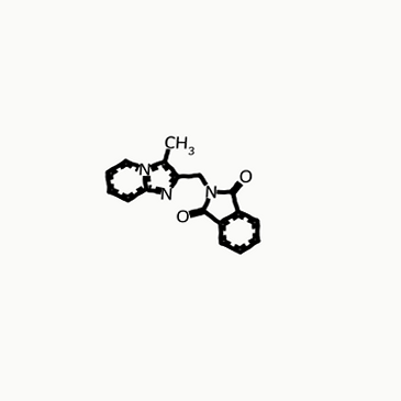 Cc1c(CN2C(=O)c3ccccc3C2=O)nc2ccccn12